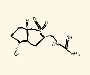 N=C(N)NC[C@H]1CC2[C@H](O)CC[C@@H]2S1(=O)=O